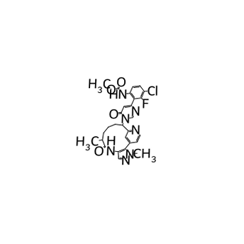 COC(=O)Nc1ccc(Cl)c(F)c1-c1cc(=O)n(C2CCCC(C)C(=O)Nc3cnn(C)c3-c3ccnc2c3)cn1